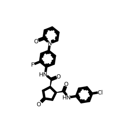 O=C1C[C@H](C(=O)Nc2ccc(Cl)cc2)[C@H](C(=O)Nc2ccc(-n3ccccc3=O)cc2F)C1